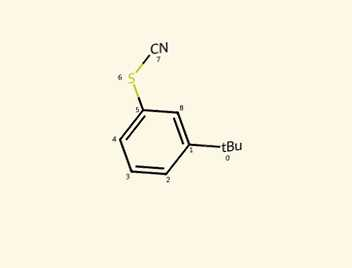 CC(C)(C)c1cccc(SC#N)c1